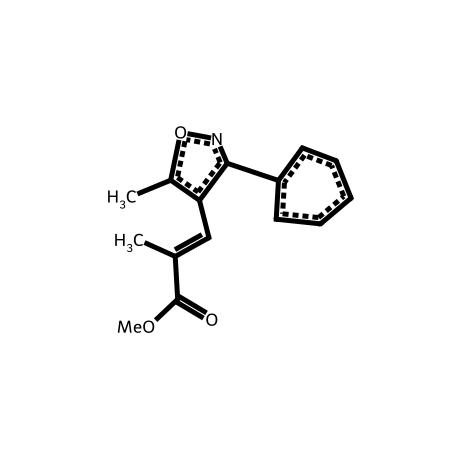 COC(=O)/C(C)=C/c1c(-c2ccccc2)noc1C